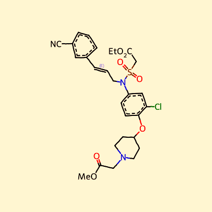 CCOC(=O)CS(=O)(=O)N(C/C=C/c1cccc(C#N)c1)c1ccc(OC2CCN(CC(=O)OC)CC2)c(Cl)c1